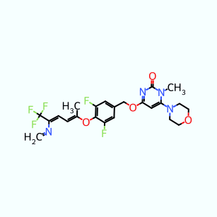 C=N/C(=C\C=C(/C)Oc1c(F)cc(COc2cc(N3CCOCC3)n(C)c(=O)n2)cc1F)C(F)(F)F